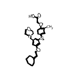 Cc1cc(Sc2cc(CN3CCOCC3)cc(OCCC3CCCCC3)c2)ccc1OCC(=O)O